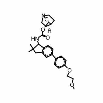 COCCOc1ccc(-c2ccc3c(c2)CC(C)(C)C3NC(=O)O[C@H]2CN3CCC2CC3)cc1